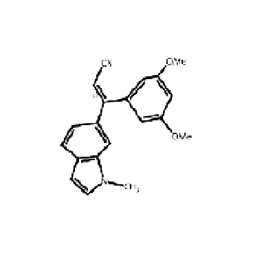 COc1cc(OC)cc(/C(=C\C#N)c2ccc3ccn(C)c3c2)c1